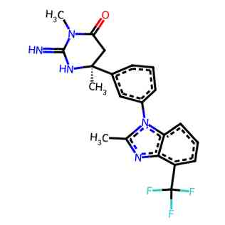 Cc1nc2c(C(F)(F)F)cccc2n1-c1cccc([C@]2(C)CC(=O)N(C)C(=N)N2)c1